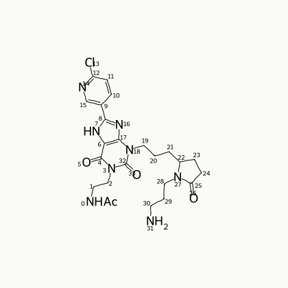 CC(=O)NCCn1c(=O)c2[nH]c(-c3ccc(Cl)nc3)nc2n(CCCC2CCC(=O)N2CCCN)c1=O